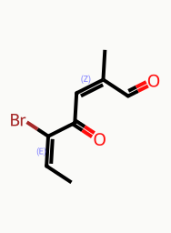 C/C=C(/Br)C(=O)/C=C(/C)C=O